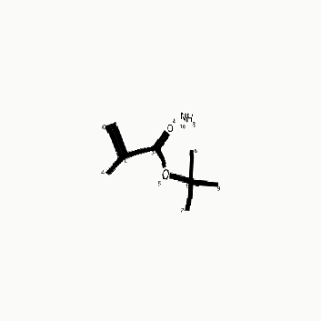 C=C(C)C(=O)OC(C)(C)C.N